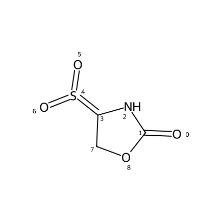 O=C1NC(=S(=O)=O)CO1